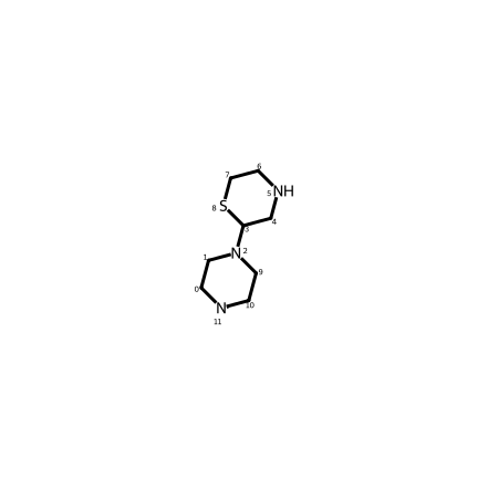 C1CN(C2CNCCS2)CC[N]1